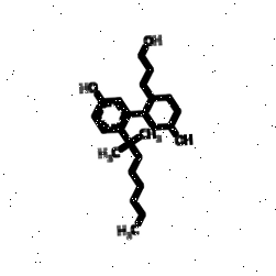 CCCCCCC(C)(C)c1ccc(O)cc1C1CC(O)CCC1CCCO